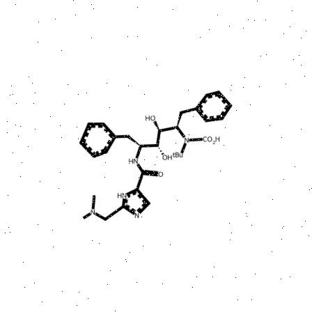 CN(C)Cc1ncc(C(=O)N[C@@H](Cc2ccccc2)[C@@H](O)[C@@H](O)[C@@H](Cc2ccccc2)N(C(=O)O)C(C)(C)C)[nH]1